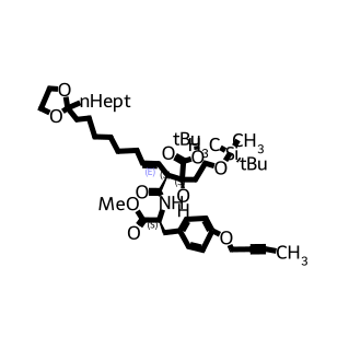 CC#CCOc1ccc(C[C@H](NC(=O)[C@@H](/C=C/CCCCCCC2(CCCCCCC)OCCO2)[C@@](O)(CCO[Si](C)(C)C(C)(C)C)C(=O)OC(C)(C)C)C(=O)OC)cc1